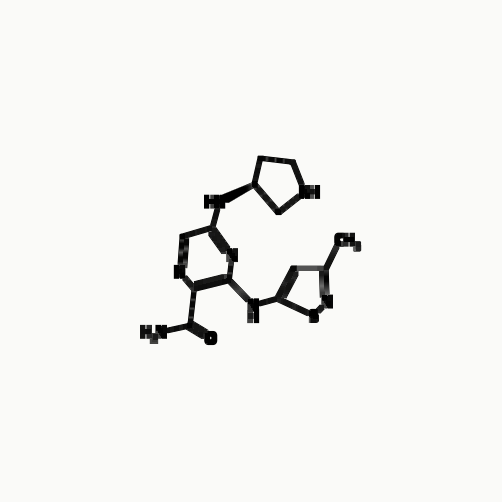 Cc1cc(Nc2nc(N[C@H]3CCNC3)cnc2C(N)=O)sn1